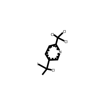 CC(Cl)(I)c1ccc(C(Cl)(Cl)Cl)nc1